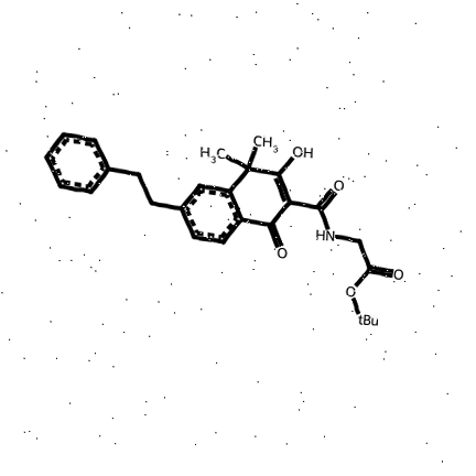 CC(C)(C)OC(=O)CNC(=O)C1=C(O)C(C)(C)c2cc(CCc3ccccc3)ccc2C1=O